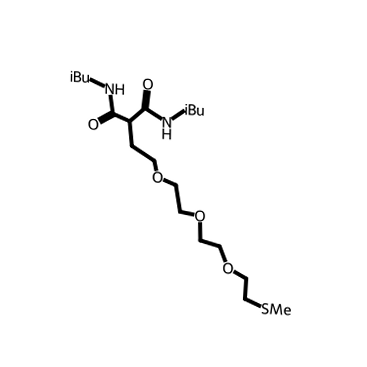 CCC(C)NC(=O)C(CCOCCOCCOCCSC)C(=O)NC(C)CC